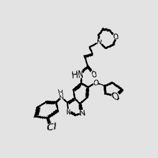 O=C(/C=C/CN1CCCOCC1)Nc1cc2c(Nc3cccc(Cl)c3)ncnc2cc1O[C@H]1CCOC1